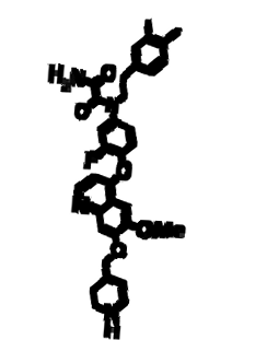 COc1cc2c(Oc3ccc(N(CCc4ccc(C)c(C)c4)C(=O)C(N)=O)cc3F)ccnc2cc1OCC1CCNCC1